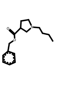 CCCCN1CCC(C(=O)OCc2ccccc2)C1